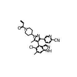 C=CC(=O)N1CCC(n2nc(-c3ccc(C#N)nc3)c(-c3c(Cl)c(C)cc4[nH]ncc34)c2C)CC1